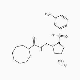 Cc1cccc(S(=O)(=O)N2CCCC2CNC(=O)[C]2CCCCCCC2)c1.[CH2].[CH2]